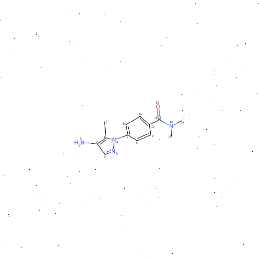 Cc1c(N)cnn1-c1ccc(C(=O)N(C)C)cc1